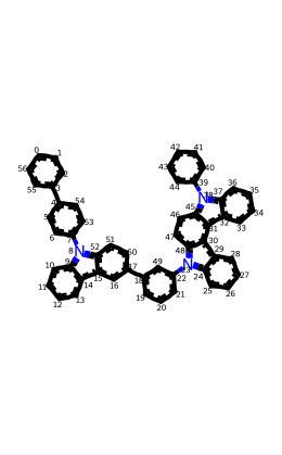 c1ccc(-c2ccc(-n3c4ccccc4c4cc(-c5cccc(-n6c7ccccc7c7c8c9ccccc9n(-c9ccccc9)c8ccc76)c5)ccc43)cc2)cc1